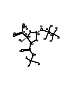 CC(C)(C)OC(=O)N1C[C@@H](O[Si](C)(C)C(C)(C)C)C[C@]1(C)C(N)=O